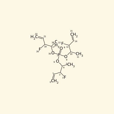 C=CC(F)C(C)OP(=O)(OC(C)C(F)C=C)OC(C)C(F)C=C